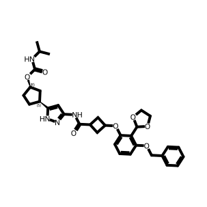 CC(C)NC(=O)O[C@@H]1CC[C@H](c2cc(NC(=O)C3CC(Oc4cccc(OCc5ccccc5)c4C4OCCO4)C3)n[nH]2)C1